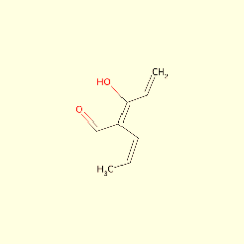 C=C/C(O)=C(C=O)\C=C/C